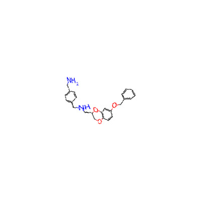 NCc1ccc(CNC[C@@H]2COc3ccc(OCc4ccccc4)cc3O2)cc1